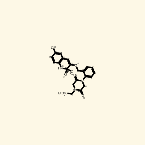 CCOC(=O)CN1CC(=O)N(c2ccccc2COC2=Cc3cc(Cl)ccc3NC2(C)Cl)CC1=O